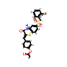 CC(=O)Oc1ccc(C=C2Sc3ccc(S(=O)(=O)Cc4c(Br)cccc4Br)cc3NC2=O)cc1